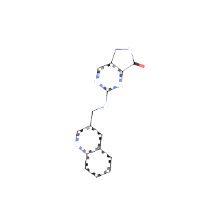 O=C1NCc2cnc(NCc3cnc4ccccc4c3)nc21